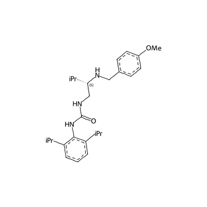 COc1ccc(CN[C@H](CNC(=O)Nc2c(C(C)C)cccc2C(C)C)C(C)C)cc1